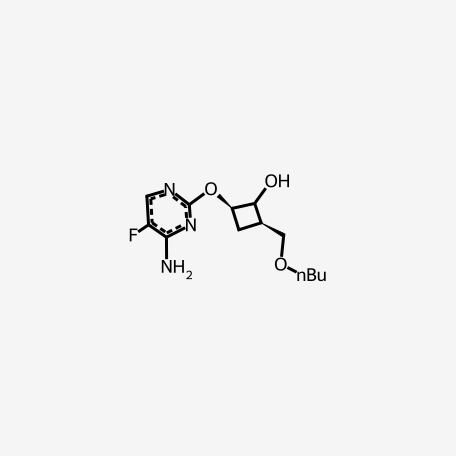 CCCCOC[C@H]1C[C@@H](Oc2ncc(F)c(N)n2)C1O